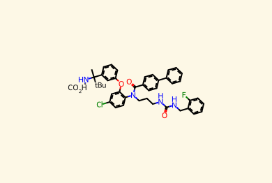 CC(C)(C)C(C)(NC(=O)O)c1cccc(Oc2cc(Cl)ccc2N(CCCNC(=O)NCc2ccccc2F)C(=O)c2ccc(-c3ccccc3)cc2)c1